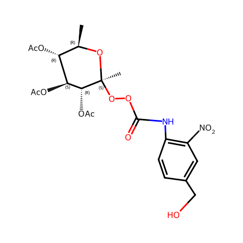 CC(=O)O[C@H]1[C@H](OC(C)=O)[C@@H](C)O[C@@](C)(OOC(=O)Nc2ccc(CO)cc2[N+](=O)[O-])[C@@H]1OC(C)=O